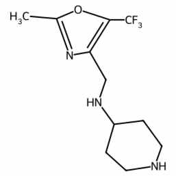 Cc1nc(CNC2CCNCC2)c(C(F)(F)F)o1